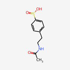 CC(=O)NCCc1ccc(S(=O)O)cc1